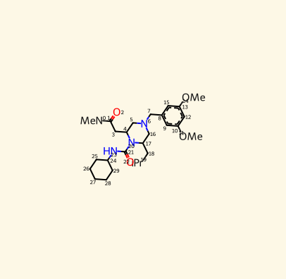 CNC(=O)CC1CN(Cc2cc(OC)cc(OC)c2)CC(CC(C)C)N1C(=O)NC1CCCCC1